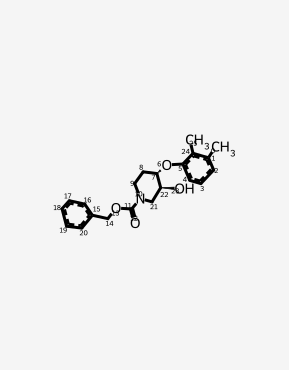 Cc1cccc(O[C@H]2CCN(C(=O)OCc3ccccc3)C[C@@H]2O)c1C